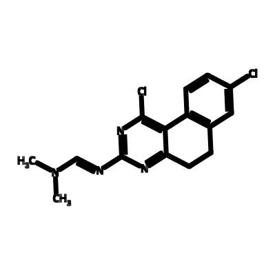 CN(C)/C=N/c1nc(Cl)c2c(n1)CCc1cc(Cl)ccc1-2